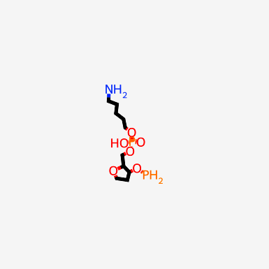 NCCCCCOP(=O)(O)OCC1OCCC1OP